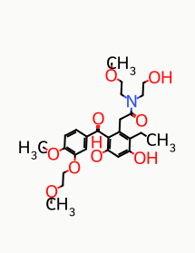 CCc1c(O)cc(O)c(C(=O)c2ccc(OC)c(OCCOC)c2)c1CC(=O)N(CCO)CCOC